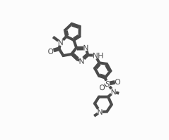 CN1CCC(N(C)S(=O)(=O)c2ccc(Nc3ncc4c(n3)-c3ccccc3N(C)C(=O)C4)cc2)CC1